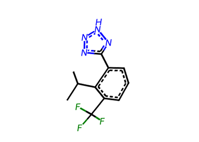 CC(C)c1c(-c2nn[nH]n2)cccc1C(F)(F)F